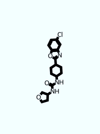 O=C(NC1CCC(c2nc3cc(Cl)ccc3o2)CC1)NC1CCOC1